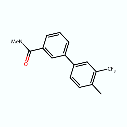 CNC(=O)c1cccc(-c2ccc(C)c(C(F)(F)F)c2)c1